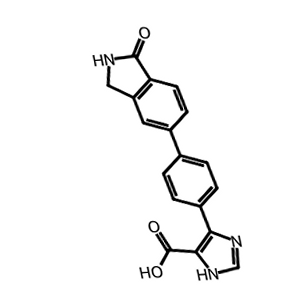 O=C1NCc2cc(-c3ccc(-c4nc[nH]c4C(=O)O)cc3)ccc21